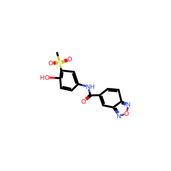 CS(=O)(=O)c1cc(NC(=O)c2ccc3nonc3c2)ccc1O